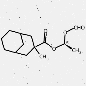 C[C@H](OC=O)OC(=O)C1(C)CC2CCCC(C2)C1